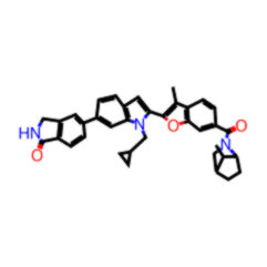 Cc1c(-c2cc3ccc(-c4ccc5c(c4)CNC5=O)cc3n2CC2CC2)oc2cc(C(=O)N3CC4CCC3C4C)ccc12